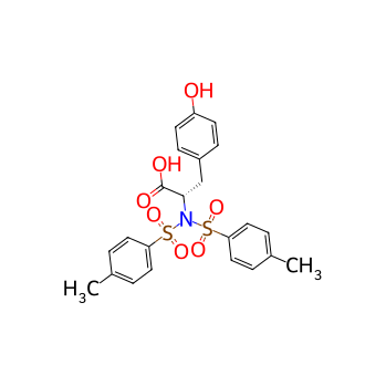 Cc1ccc(S(=O)(=O)N([C@@H](Cc2ccc(O)cc2)C(=O)O)S(=O)(=O)c2ccc(C)cc2)cc1